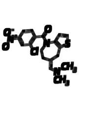 CN(C)/C=C1/CCN(C(=O)c2ccc([N+](=O)[O-])cc2Cl)c2ccsc2C1